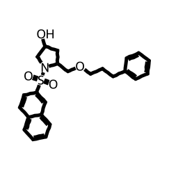 O=S(=O)(c1ccc2ccccc2c1)N1CC(O)CC1COCCCc1ccccc1